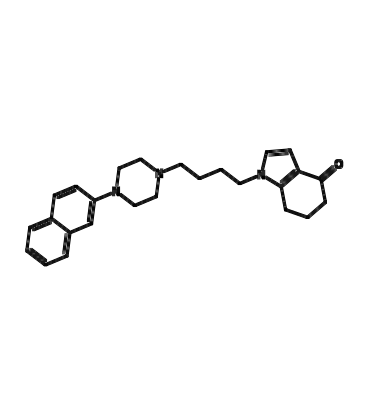 O=C1CCCc2c1ccn2CCCCN1CCN(c2ccc3ccccc3c2)CC1